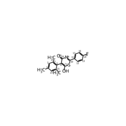 Cc1cc(C)c(-c2c(O)sc(-c3ccc(F)cc3)nc2=O)c(C)c1